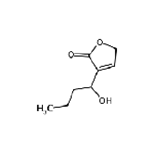 CCCC(O)C1=CCOC1=O